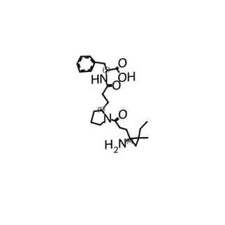 CCC1(C)C[C@]1(N)CCC(=O)N1CCC[C@H]1CCC(=O)N[C@@H](Cc1ccccc1)C(=O)O